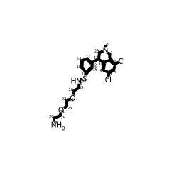 CN1Cc2c(Cl)cc(Cl)cc2C(c2cccc(SNCCOCCOCCN)c2)C1